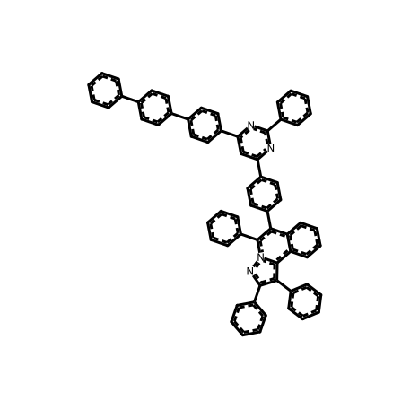 c1ccc(-c2ccc(-c3ccc(-c4cc(-c5ccc(-c6c(-c7ccccc7)n7nc(-c8ccccc8)c(-c8ccccc8)c7c7ccccc67)cc5)nc(-c5ccccc5)n4)cc3)cc2)cc1